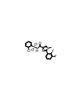 Cn1cc(C(=O)NS(=O)(=O)c2ccccc2Cl)nc1-c1cccc(F)c1F